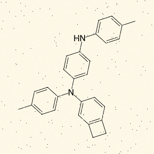 Cc1ccc(Nc2ccc(N(c3ccc(C)cc3)c3ccc4c(c3)CC4)cc2)cc1